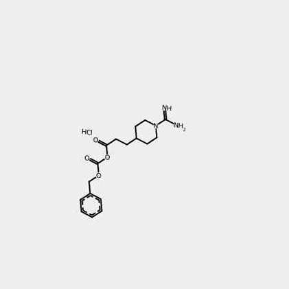 Cl.N=C(N)N1CCC(CCC(=O)OC(=O)OCc2ccccc2)CC1